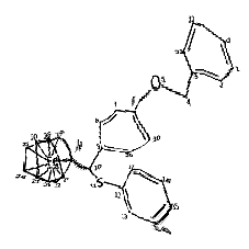 c1ccc(COc2ccc(C(Sc3ccccc3)[C]34[CH]5[CH]6[CH]7[CH]3[Fe]6754389%10[CH]4[CH]3[CH]8[CH]9[CH]4%10)cc2)cc1